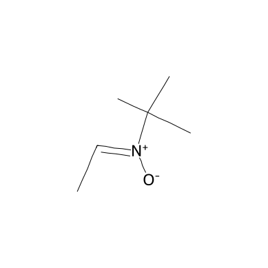 CC=[N+]([O-])C(C)(C)C